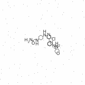 NC(=O)CN[C@H]1CC[C@H](Nc2cc(-c3cccc(NCC4(N)CCOCC4)n3)c(Cl)cn2)CC1